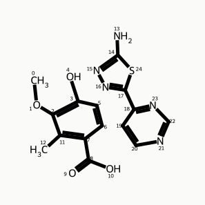 COc1c(O)ccc(C(=O)O)c1C.Nc1nnc(-c2ccncn2)s1